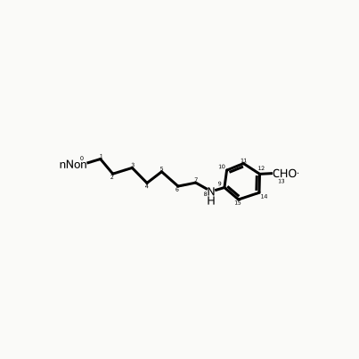 CCCCCCCCCCCCCCCCNc1ccc([C]=O)cc1